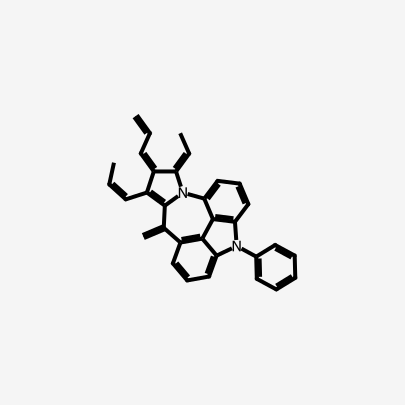 C=C/C=c1/c(/C=C\C)c2c(=C)c3cccc4c3c3c(cccc3n2/c1=C/C)n4-c1ccccc1